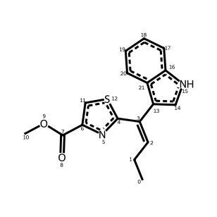 CC/C=C(\c1nc(C(=O)OC)cs1)c1c[nH]c2ccccc12